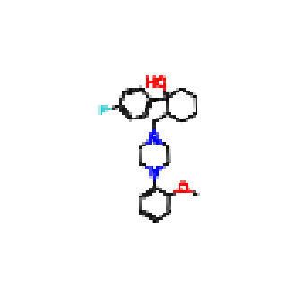 COc1ccccc1N1CCN(CC2CCCCC2(O)c2ccc(F)cc2)CC1